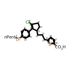 CCCCCSc1ccc(C2=C(Cl)CCC2CCCc2ccc(C(=O)O)s2)cc1